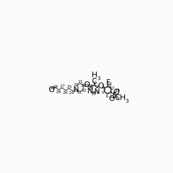 Cc1c(Oc2ccc(S(C)(=O)=O)cc2F)ncnc1OC1CCN(CCCCCC=O)CC1